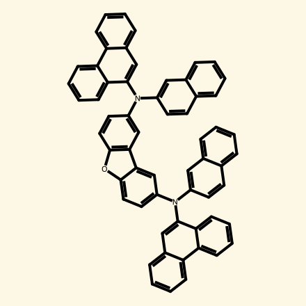 c1ccc2cc(N(c3ccc4oc5ccc(N(c6ccc7ccccc7c6)c6cc7ccccc7c7ccccc67)cc5c4c3)c3cc4ccccc4c4ccccc34)ccc2c1